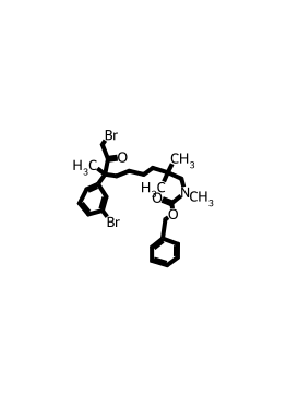 CN(CC(C)(C)CCCCC(C)(C(=O)CBr)c1cccc(Br)c1)C(=O)OCc1ccccc1